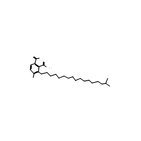 Cc1ccc(C(=O)O)c(C(=O)O)c1CCCCCCCCCCCCCCCC(C)C